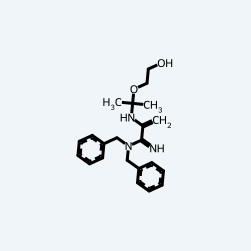 C=C(NC(C)(C)OCCO)C(=N)N(Cc1ccccc1)Cc1ccccc1